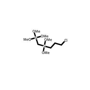 CO[Si](CCCCl)(C[Si](OC)(OC)OC)OC